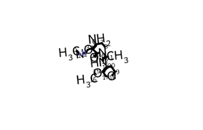 C/N=C\OC1=C(N)CCN(C(C)NC2=C(OC)COCC2)C1=O